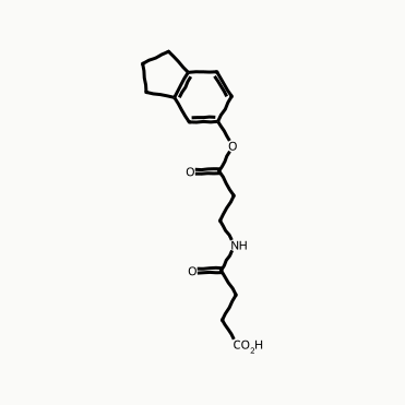 O=C(O)CCC(=O)NCCC(=O)Oc1ccc2c(c1)CCC2